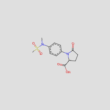 CN(c1ccc(N2C(=O)CCC2C(=O)O)cc1)S(C)(=O)=O